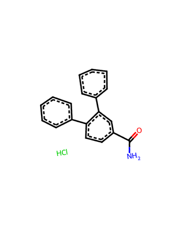 Cl.NC(=O)c1ccc(-c2ccccc2)c(-c2ccccc2)c1